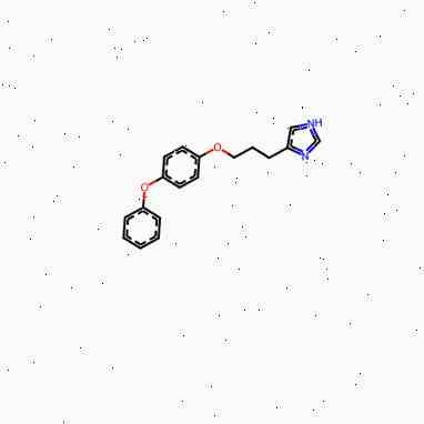 c1ccc(Oc2ccc(OCCCc3c[nH]cn3)cc2)cc1